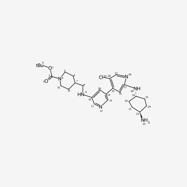 CC(C)(C)OC(=O)N1CCC(CNc2cncc(-c3cc(N[C@H]4CC[C@H](N)CC4)ncc3Cl)c2)CC1